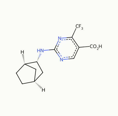 O=C(O)c1cnc(N[C@@H]2C[C@H]3CC[C@@H]2C3)nc1C(F)(F)F